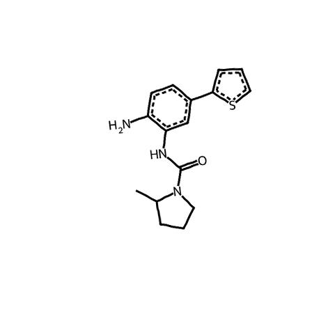 CC1CCCN1C(=O)Nc1cc(-c2cccs2)ccc1N